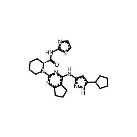 O=C(Nc1nccs1)[C@@H]1CCCCN1c1nc2c(c(Nc3cc(C4CCCC4)[nH]n3)n1)CCC2